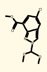 COC(=O)c1cc(Cl)cc2cn(C(OC)OC)nc12